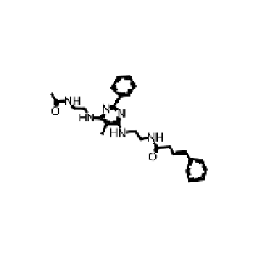 CC(=O)NCCNc1nc(-c2ccccc2)nc(NCCNC(=O)C/C=C/c2ccccc2)c1C